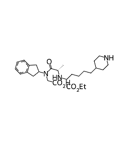 CCOC(=O)[C@@H](CCCCC1CCNCC1)N[C@@H](C)C(=O)N(CC(=O)O)C1Cc2ccccc2C1